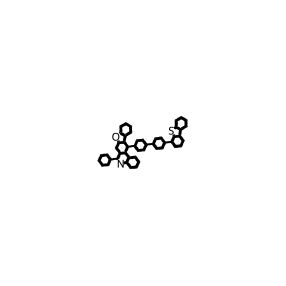 c1ccc(-c2nc3ccccc3c3c(-c4ccc(-c5ccc(-c6cccc7c6sc6ccccc67)cc5)cc4)c4c(cc23)oc2ccccc24)cc1